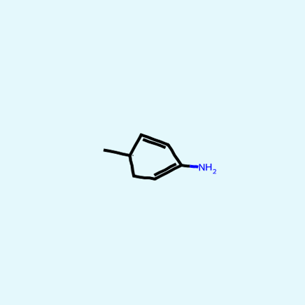 C[C]1C=CC(N)=CC1